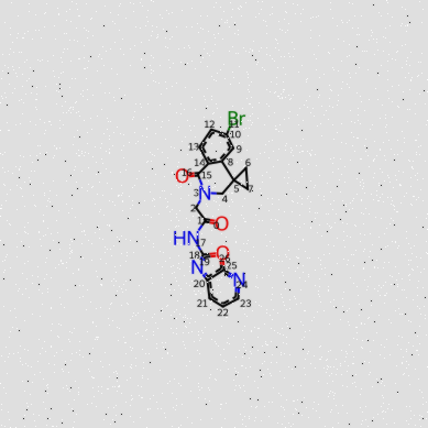 O=C(CN1CC2(CC2)c2cc(Br)ccc2C1=O)Nc1nc2cccnc2o1